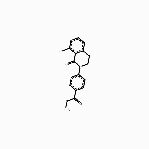 COC(=O)c1ccc(N2CCc3cccc(Cl)c3C2=O)cc1